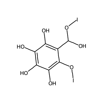 Oc1c(O)c(O)c(C(O)OI)c(OI)c1O